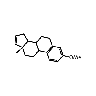 COc1ccc2c(c1)CCC1C2CC[C@]2(C)C=CCC12